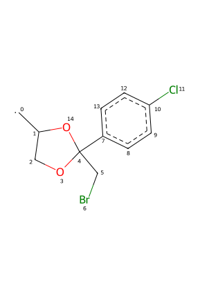 [CH2]C1COC(CBr)(c2ccc(Cl)cc2)O1